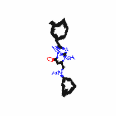 Cc1cccc(-c2nc3[nH]c(CNc4ccccc4)cc(=O)n3n2)c1